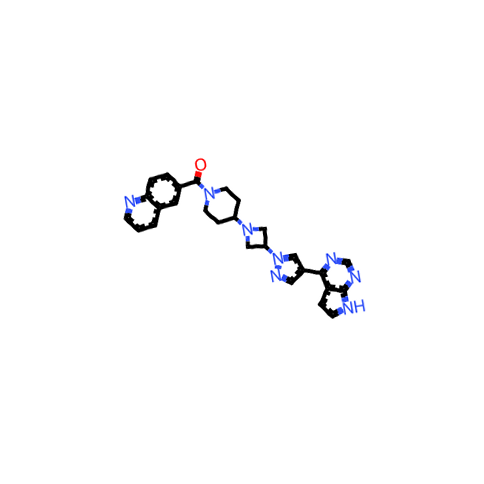 O=C(c1ccc2ncccc2c1)N1CCC(N2CC(n3cc(-c4ncnc5[nH]ccc45)cn3)C2)CC1